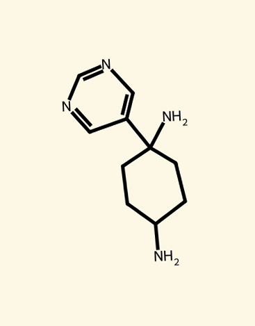 NC1CCC(N)(c2cncnc2)CC1